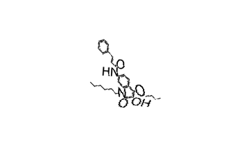 CCCCCCn1c(=O)c(O)c(OCCCC)c2ccc(NC(=O)C=Cc3ccccc3)cc21